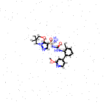 COc1cc(-c2cccc(C)c2NC(=O)N=[S@](N)(=O)c2cnn3c2OCC(C)(C)C3)ccn1